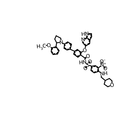 COc1ccccc1C1CCCN1c1ccc(-c2ccc(C(=O)NS(=O)(=O)c3ccc(NCC4CCOCC4)c([N+](=O)[O-])c3)c(Oc3cnc4[nH]ccc4c3)c2)cc1